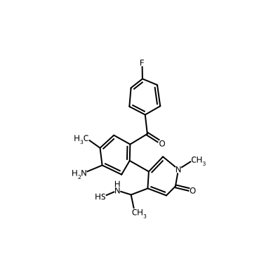 Cc1cc(C(=O)c2ccc(F)cc2)c(-c2cn(C)c(=O)cc2C(C)NS)cc1N